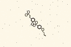 C=CCCOc1ccc(C(=O)Oc2ccc(C=CC(=O)OC)cc2OC)cc1